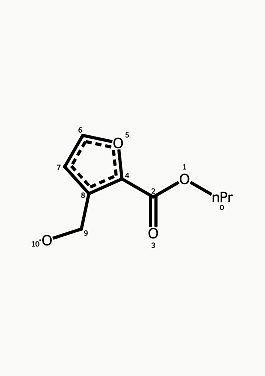 CCCOC(=O)c1occc1C[O]